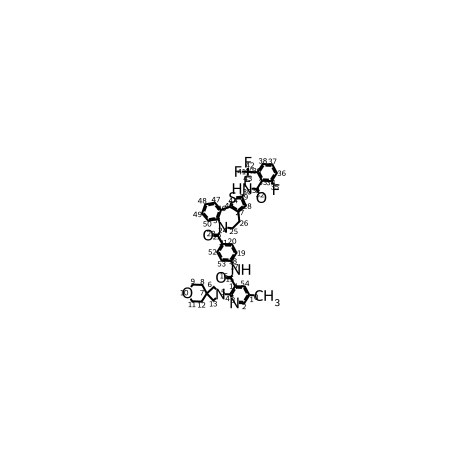 Cc1cnc(N2CC3(CCOCC3)C2)c(C(=O)Nc2ccc(C(=O)N3CCc4cc(NC(=O)c5c(F)cccc5C(F)(F)F)sc4-c4ccccc43)cc2)c1